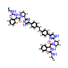 CCNC(=O)N[C@@H](C(=O)N1CCC[C@H]1c1nc(-c2ccc(CCc3ccc(-c4c[nH]c([C@@H]5CCCN5C(=O)[C@H](NC(=O)NCC)c5ccccc5)n4)cc3)cc2)c[nH]1)c1ccccc1